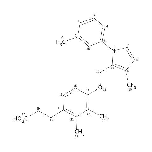 Cc1cccc(-n2ccc(C(F)(F)F)c2COc2ccc(CCC(=O)O)c(C)c2C)c1